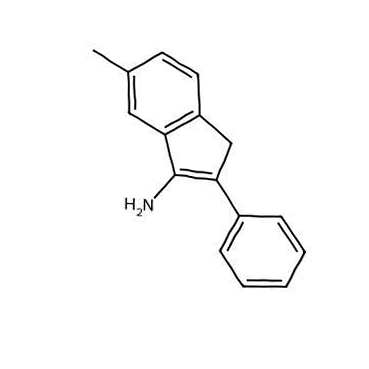 Cc1ccc2c(c1)C(N)=C(c1ccccc1)C2